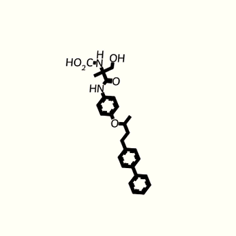 CC(CCc1ccc(-c2ccccc2)cc1)Oc1ccc(NC(=O)C(C)(CO)NC(=O)O)cc1